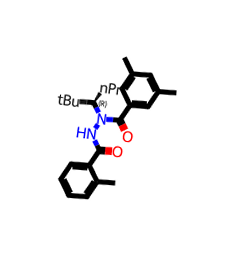 CCC[C@@H](N(NC(=O)c1ccccc1C)C(=O)c1cc(C)cc(C)c1)C(C)(C)C